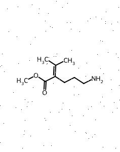 COC(=O)C(CCCN)=C(C)C